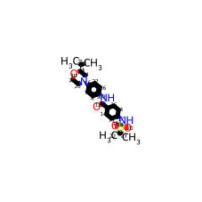 CC(C)[C@@H]1CN(c2ccc(NC(=O)C3CCC(NS(=O)(=O)C(C)C)CC3)cc2)CCO1